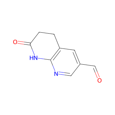 O=Cc1cnc2c(c1)CCC(=O)N2